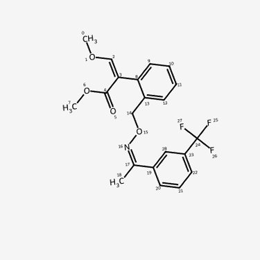 COC=C(C(=O)OC)c1ccccc1CON=C(C)c1cccc(C(F)(F)F)c1